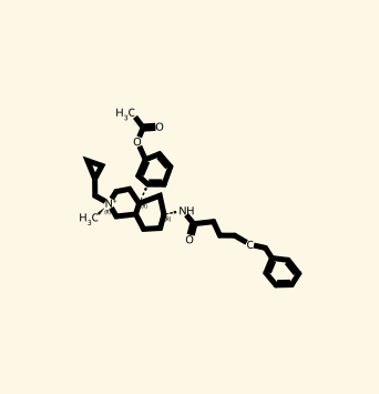 CC(=O)Oc1cccc([C@@]23CC[N@+](C)(CC4CC4)CC2CC[C@@H](NC(=O)CCCCCc2ccccc2)C3)c1